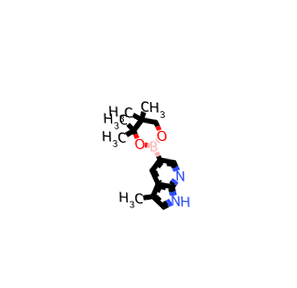 Cc1c[nH]c2ncc(B3OCC(C)(C)C(C)(C)O3)cc12